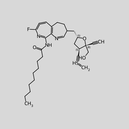 C#C[C@]1(CO)O[C@@H](CC2C=NC3=C(C=C=C(F)N=C3NC(=O)CCCCCCCCC)CC2)C[C@@H]1C#[SH]=C